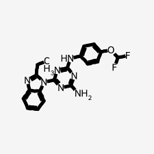 CCc1nc2ccccc2n1-c1nc(N)nc(Nc2ccc(OC(F)F)cc2)n1